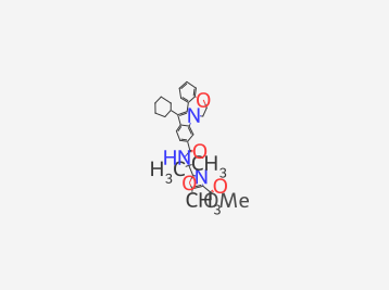 COC(=O)c1nc(C(C)(C)NC(=O)c2ccc3c(C4CCCCC4)c4n(c3c2)CCOc2ccccc2-4)oc1C